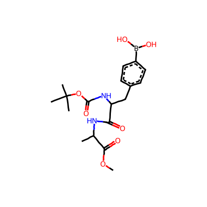 COC(=O)C(C)NC(=O)C(Cc1ccc(B(O)O)cc1)NC(=O)OC(C)(C)C